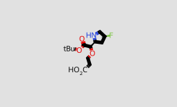 CC(C)(C)OC(=O)C(OCCC(=O)O)[C@@H]1C[C@H](F)CN1